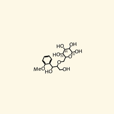 COc1ccccc1C(O)C(CO)OCC1O[C@H](O)C(O)[C@H](O)[C@@H]1O